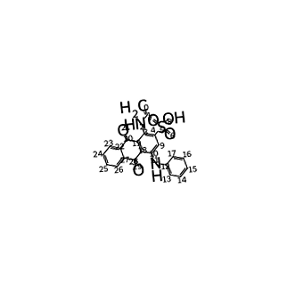 C=CNc1c(S(=O)(=O)O)cc(Nc2ccccc2)c2c1C(=O)c1ccccc1C2=O